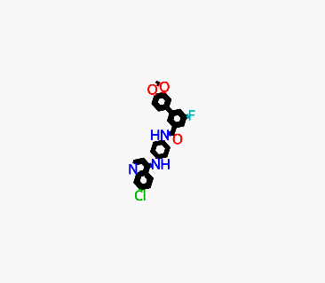 O=C(NC1CCC(Nc2ccnc3cc(Cl)ccc23)CC1)c1cc(F)cc(-c2ccc3c(c2)OCO3)c1